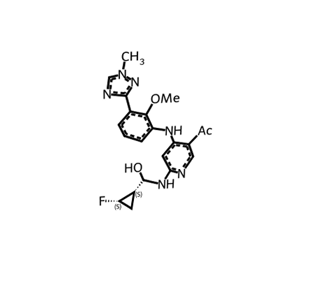 COc1c(Nc2cc(NC(O)[C@@H]3C[C@@H]3F)ncc2C(C)=O)cccc1-c1ncn(C)n1